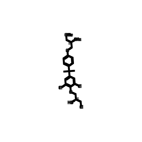 COC[C@H](COc1ccc(C(C)(C)c2cc(Cl)c(OC[C@H](O)CCl)c(Cl)c2)cc1)OC(C)=O